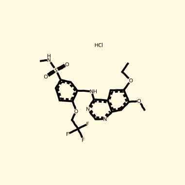 CCOc1cc2c(Nc3cc(S(=O)(=O)NC)ccc3OCC(F)(F)F)ncnc2cc1OC.Cl